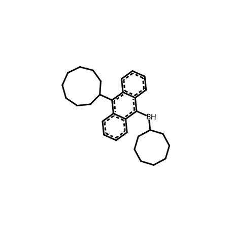 B(c1c2ccccc2c(C2CCCCCCCC2)c2ccccc12)C1CCCCCCC1